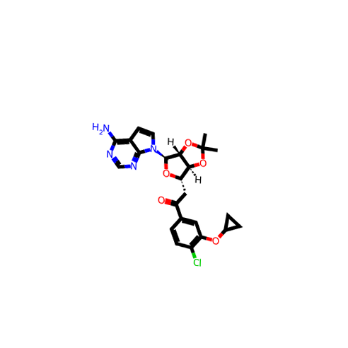 CC1(C)O[C@@H]2[C@@H](O1)[C@H](n1ccc3c(N)ncnc31)O[C@H]2CC(=O)c1ccc(Cl)c(OC2CC2)c1